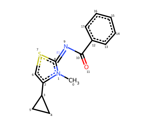 Cn1c(C2CC2)cs/c1=N/C(=O)c1ccccc1